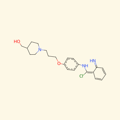 N=C1C=CC=C/C1=C(\Cl)Nc1ccc(OCCCN2CCC(CO)CC2)cc1